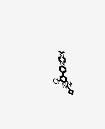 CC(C)N1CCN(c2ccc(-c3cc(Cl)c4nc(C5CCC5)n(C)c4c3)cc2)CC1